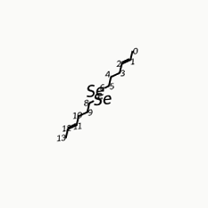 CC=CCCC[Se][Se]CCCC=CC